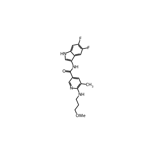 COCCCNc1ncc(C(=O)Nc2c[nH]c3cc(F)c(F)cc23)cc1C